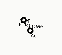 COc1cc(C(C)=O)ccc1OCc1c(F)cccc1F